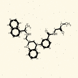 COC(=O)CNC(=O)c1cccc([C@@H]2C[C@H](CNC(C)c3cccc4ccccc34)Oc3ccccc32)c1